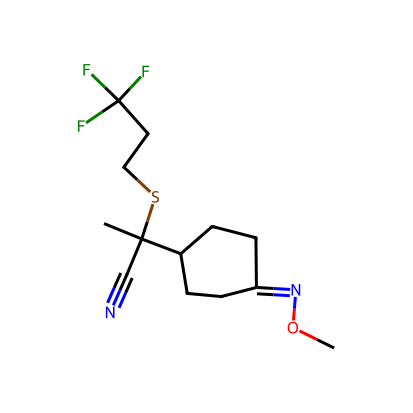 CON=C1CCC(C(C)(C#N)SCCC(F)(F)F)CC1